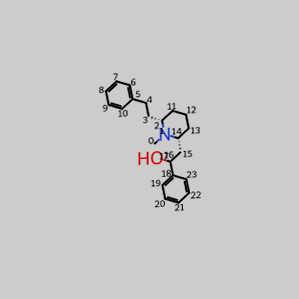 CN1[C@H](CCc2ccccc2)CCC[C@@H]1CC(O)c1ccccc1